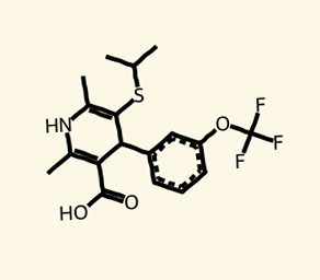 CC1=C(SC(C)C)C(c2cccc(OC(F)(F)F)c2)C(C(=O)O)=C(C)N1